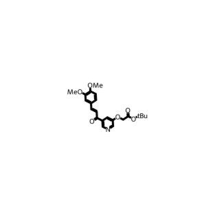 COc1ccc(/C=C/C(=O)c2cncc(OCC(=O)OC(C)(C)C)c2)cc1OC